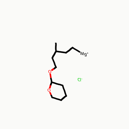 CC(C[CH2][Mg+])CCOC1CCCCO1.[Cl-]